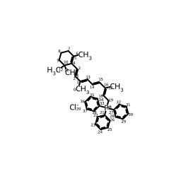 CC(C=CC1=C(C)CCCC1(C)C)=CC=CC(C)=CC[P+](c1ccccc1)(c1ccccc1)c1ccccc1.[Cl-]